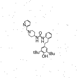 CC(C)(C)c1cc(CCc2ccccc2NC(=O)NC2CCN(Cc3ccccn3)CC2)cc(C(C)(C)C)c1O